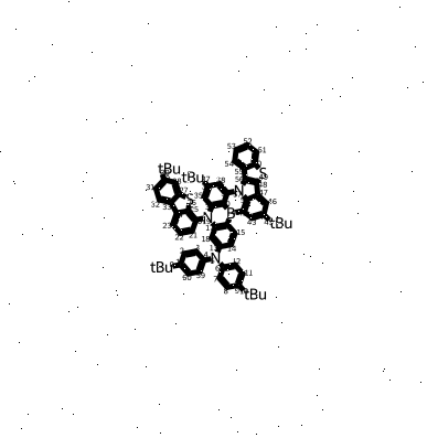 CC(C)(C)c1ccc(N(c2ccc(C(C)(C)C)cc2)c2ccc3c(c2)N(c2cccc4c2sc2cc(C(C)(C)C)ccc24)c2cc(C(C)(C)C)cc4c2B3c2cc(C(C)(C)C)cc3c5sc6ccccc6c5n-4c23)cc1